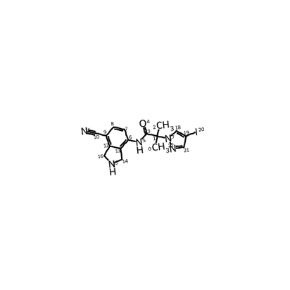 CC(C)(C(=O)Nc1ccc(C#N)c2c1CNC2)n1cc(I)cn1